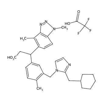 Cc1ccc(C(CC(=O)O)c2ccc3c(nnn3C)c2C)cc1Cn1ccnc1CC1CCCCC1.O=C(O)C(F)(F)F